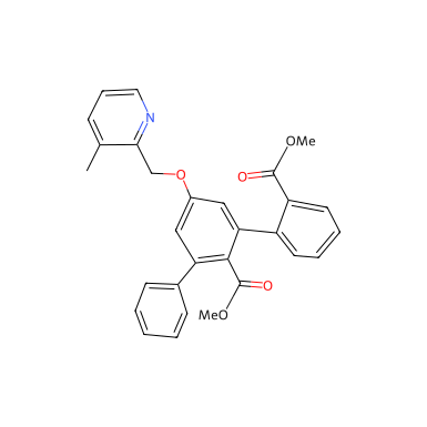 COC(=O)c1ccccc1-c1cc(OCc2ncccc2C)cc(-c2ccccc2)c1C(=O)OC